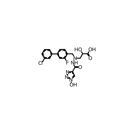 O=C(NN(Cc1ccc(-c2cccc(Cl)c2)cc1F)CC(O)C(=O)O)c1cn(O)nn1